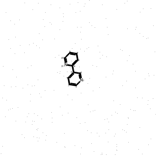 [c]1ncccc1-c1ccccn1